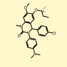 CC[C@@H](C)Oc1cc2c(cc1OC)N(C)C(=O)N(c1ccc(N(C)C)cc1)C2c1ccc(Cl)cc1